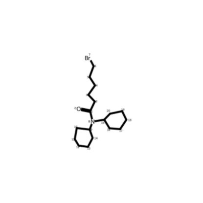 O=C(CCCCCBr)N(C1CCCCC1)C1CCCCC1